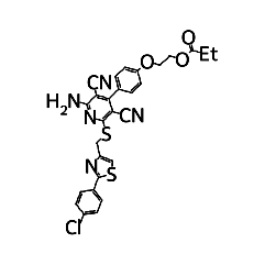 CCC(=O)OCCOc1ccc(-c2c(C#N)c(N)nc(SCc3csc(-c4ccc(Cl)cc4)n3)c2C#N)cc1